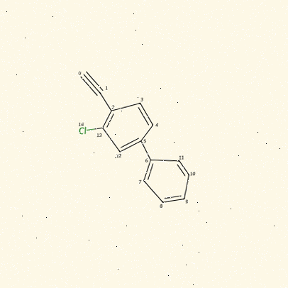 C#Cc1ccc(-c2ccccc2)cc1Cl